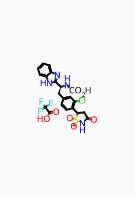 O=C(O)C(F)(F)F.O=C(O)N[C@@H](Cc1ccc(C2CC(=O)NS2(=O)=O)c(Cl)c1)c1nc2ccccc2[nH]1